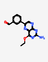 CCOc1nc(N)nc2ncc(-c3cccc(C=O)c3)nc12